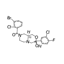 O=C(c1cccc(Br)c1Cl)N1CCN2C[C@@](O)(c3ccc(F)c(Cl)c3)OC[C@@H]2C1